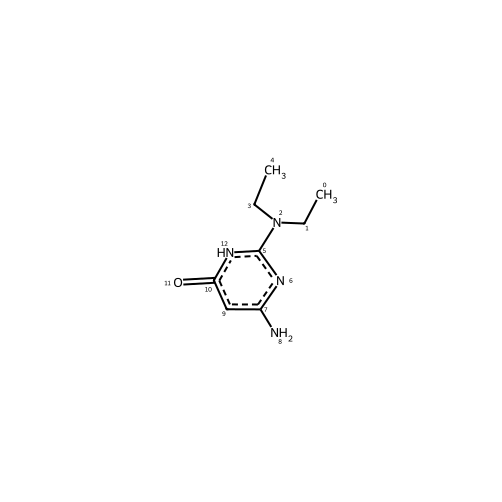 CCN(CC)c1nc(N)cc(=O)[nH]1